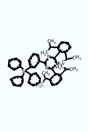 CC(C)c1cccc(C(C)C)c1-c1nc(-c2cccc([Si](c3ccccc3)(c3ccccc3)c3ccccc3)c2)nc(-c2c(C(C)C)cccc2C(C)C)n1